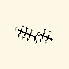 O=C(OC(F)(F)C(F)(F)F)C(F)(F)C(F)(F)C(F)(F)F